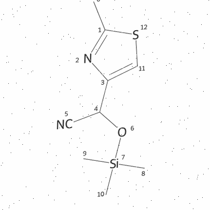 Cc1nc(C(C#N)O[Si](C)(C)C)cs1